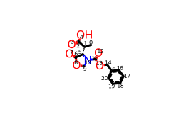 CC(C(=O)O)[C@H]1C(=O)OCN1C(=O)OCc1ccccc1